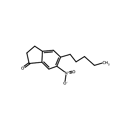 CCCCCc1cc2c(cc1[N+](=O)[O-])C(=O)CC2